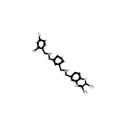 CC1Oc2ccc(CNCc3cccc(CNCc4ccc(Cl)cc4Cl)c3)cc2N=C1N